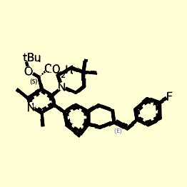 Cc1nc(C)c([C@H](OC(C)(C)C)C(=O)O)c(N2CCC(C)(C)CC2)c1-c1ccc2c(c1)CC/C(=C\c1ccc(F)cc1)C2